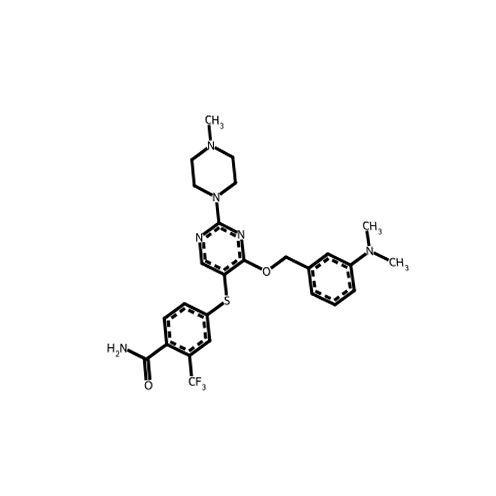 CN1CCN(c2ncc(Sc3ccc(C(N)=O)c(C(F)(F)F)c3)c(OCc3cccc(N(C)C)c3)n2)CC1